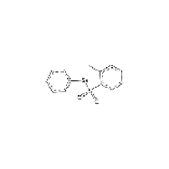 Cc1ccccc1S(=O)(=O)[Se]c1ccccc1